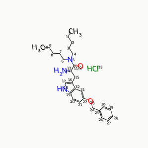 CCCCCN(CCCCC)C(=O)C(N)Cc1c[nH]c2ccc(OCc3ccccc3)cc12.Cl